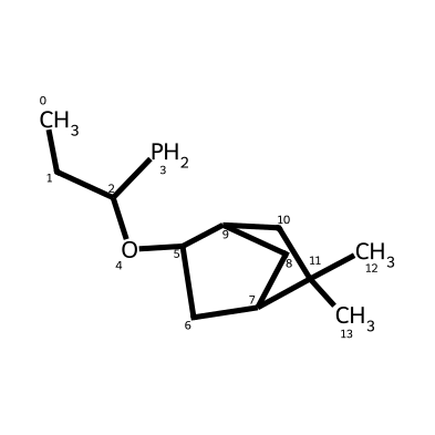 CCC(P)OC1CC2CC1CC2(C)C